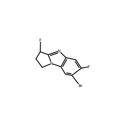 Fc1cc2nc3n(c2cc1Br)CCC3F